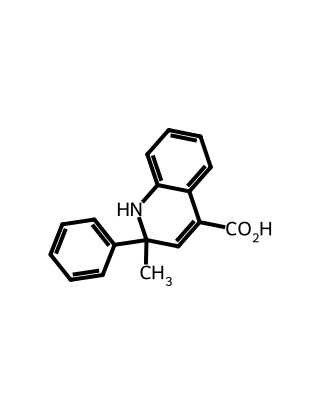 CC1(c2ccccc2)C=C(C(=O)O)c2ccccc2N1